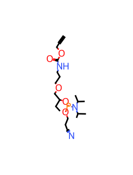 C#CCOC(=O)NCCCOCC(CC)OP(OCCC#N)N(C(C)C)C(C)C